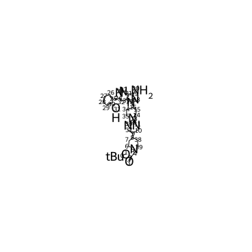 CC(C)(C)OC(=O)CN1CCC(c2cnc(N3CCC(n4nc(N)c5nnc(-c6ccccc6O)cc54)CC3)nc2)CC1